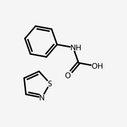 O=C(O)Nc1ccccc1.c1cnsc1